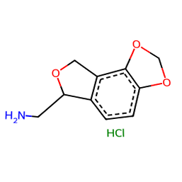 Cl.NCC1OCc2c1ccc1c2OCO1